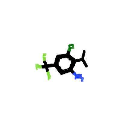 CC(C)c1c(N)cc(C(F)(F)F)cc1Cl